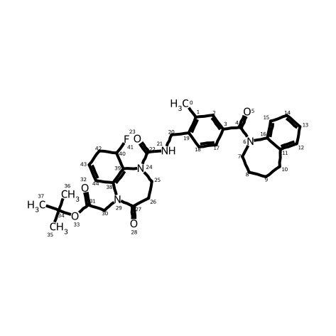 Cc1cc(C(=O)N2CCCCc3ccccc32)ccc1CNC(=O)N1CCC(=O)N(CC(=O)OC(C)(C)C)C2=C1C(F)CC=C2